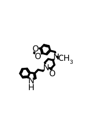 CN(Cc1ccc2c(c1)OCO2)C1CCN(CCc2c[nH]c3ccccc23)C(=O)C1